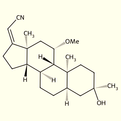 CO[C@H]1C[C@]2(C)/C(=C\C#N)CC[C@H]2[C@@H]2CC[C@@H]3C[C@](C)(O)CC[C@]3(C)[C@H]21